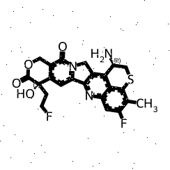 Cc1c(F)cc2nc3c(c4c2c1SC[C@@H]4N)Cn1c-3cc2c(c1=O)COC(=O)[C@]2(O)CCF